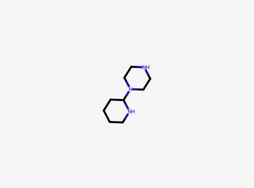 C1CCC(N2CCNCC2)NC1